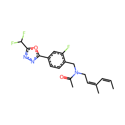 C/C=C\C(C)=C/CN(Cc1ccc(-c2nnc(C(F)F)o2)cc1F)C(C)=O